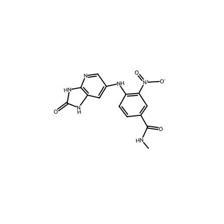 CNC(=O)c1ccc(Nc2cnc3[nH]c(=O)[nH]c3c2)c([N+](=O)[O-])c1